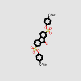 COc1ccc(OS(=O)(=O)c2ccc3c(c2)C(=O)c2cc(S(=O)(=O)Oc4ccc(OC)cc4)ccc2-3)cc1